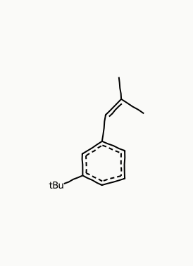 CC(C)=Cc1cccc(C(C)(C)C)c1